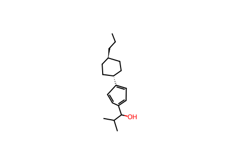 CCC[C@H]1CC[C@H](c2ccc(C(O)C(C)C)cc2)CC1